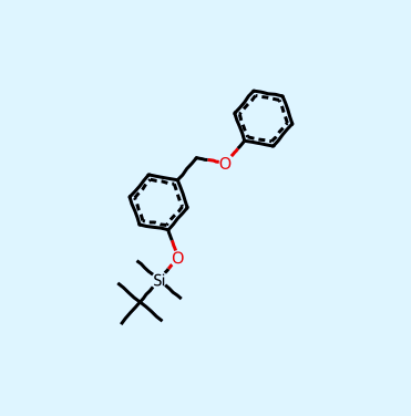 CC(C)(C)[Si](C)(C)Oc1cccc(COc2ccccc2)c1